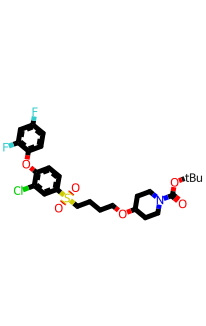 CC(C)(C)OC(=O)N1CCC(OCCCCS(=O)(=O)c2ccc(Oc3ccc(F)cc3F)c(Cl)c2)CC1